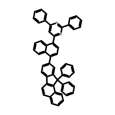 c1ccc(-c2cc(-c3ccc(-c4ccc5c(c4)C(c4ccccc4)(c4ccccc4)c4c-5ccc5ccccc45)c4ccccc34)nc(-c3ccccc3)n2)cc1